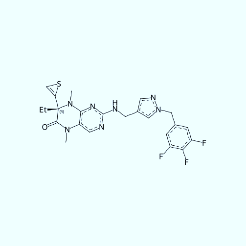 CC[C@]1(C2=CS2)C(=O)N(C)c2cnc(NCc3cnn(Cc4cc(F)c(F)c(F)c4)c3)nc2N1C